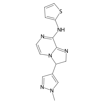 Cn1cc(C2CN=C3C(Nc4cccs4)=NC=CN32)cn1